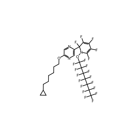 FC1=C(F)N(OC(F)(F)C(F)(F)C(F)(F)C(F)(F)C(F)(F)C(F)(F)C(F)(F)F)C(F)(c2cnc(OCCCCCCC3CC3)cn2)C(F)=C1F